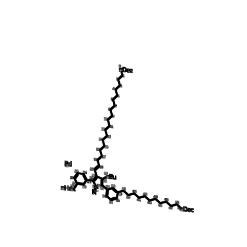 CCCCCCCCCCCCCCCCCCCCCCCCCCCCC=CC1=C(c2cccc(CCCCCC)c2)[N+](=[N-])C(c2cccc(CCCCCCCCCCCCCCCCCCCCC)c2)=C1CCCC.[Pd]